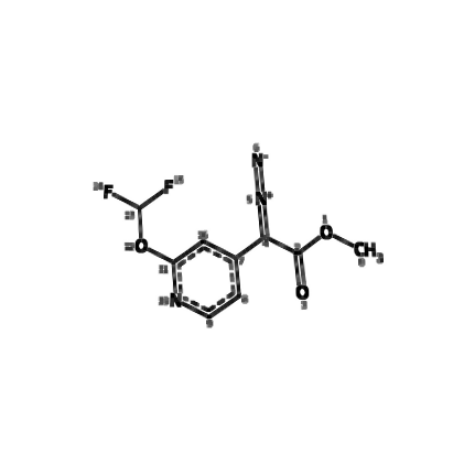 COC(=O)C(=[N+]=[N-])c1ccnc(OC(F)F)c1